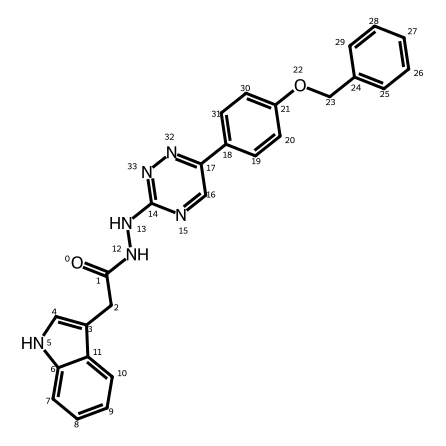 O=C(Cc1c[nH]c2ccccc12)NNc1ncc(-c2ccc(OCc3ccccc3)cc2)nn1